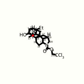 CCc1ccc(O)cc1C12CCNC(C)C13CCC1C2[C@@H](CN1C(=O)OCC(Cl)(Cl)Cl)C3